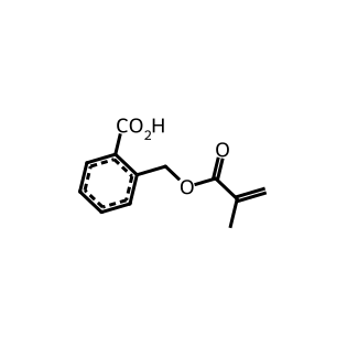 C=C(C)C(=O)OCc1ccccc1C(=O)O